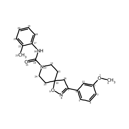 COc1cccc(C2=NOC3(CCN(C(=O)Nc4ccccc4C)CC3)C2)c1